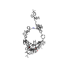 CC[C@H](C)[C@H]1NC(=O)[C@@H](NC(=O)[C@H](C)[C@H](O)C(C)C)[C@@H](C)OC(=O)[C@@H]2COC(=O)CNC(=O)/C=C/[C@](O)(CNCCCNC(=O)OC(C)(C)C)[C@@H](C)OC3=CC=C(CC3)[C@H](NC1=O)C(=O)N(C)C(Cc1ccccc1)C(=O)N[C@H]([C@@H](C)O)C(=O)N2